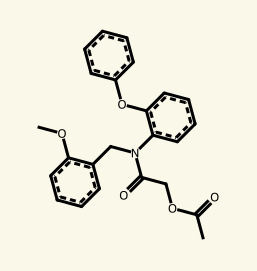 COc1ccccc1CN(C(=O)COC(C)=O)c1ccccc1Oc1ccccc1